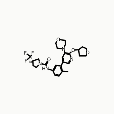 Cc1ccc(NC(=O)N2CC[C@H](C(F)(F)F)C2)cc1-c1cnc(OC2CCOCC2)c(N2CCOCC2)c1